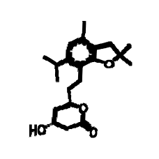 Cc1cc(C(C)C)c(CC[C@@H]2C[C@@H](O)CC(=O)O2)c2c1CC(C)(C)O2